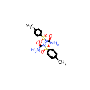 Cc1ccc(S(=O)(=O)N(C(N)=O)N(C(N)=O)S(=O)(=O)c2ccc(C)cc2)cc1